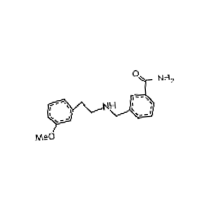 COc1cccc(CCNCc2cccc(C(N)=O)c2)c1